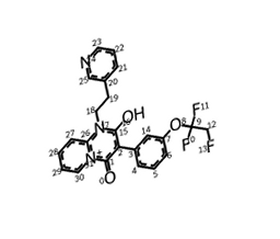 O=c1c(-c2cccc(OC(F)(F)CF)c2)c(O)n(CCc2cccnc2)c2cccc[n+]12